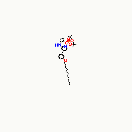 CCCCCCCCCCCOc1cccc(-c2ccnc(N[C@@H]3CCC[C@@H]3OP(=O)(OC(C)(C)C)OC(C)(C)C)c2)c1